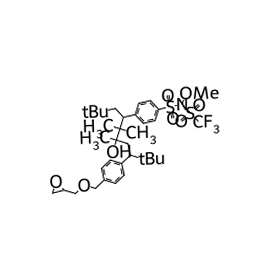 CON(S(=O)(=O)c1ccc(C(CC(C)(C)C)C(C)(C)C(C)(O)CC(c2ccc(COCC3CO3)cc2)C(C)(C)C)cc1)S(=O)(=O)C(F)(F)F